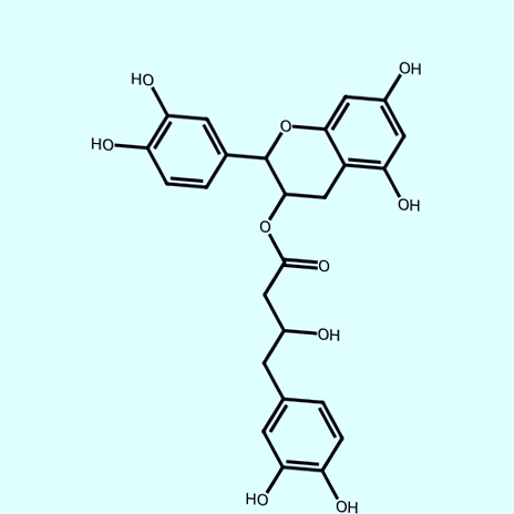 O=C(CC(O)Cc1ccc(O)c(O)c1)OC1Cc2c(O)cc(O)cc2OC1c1ccc(O)c(O)c1